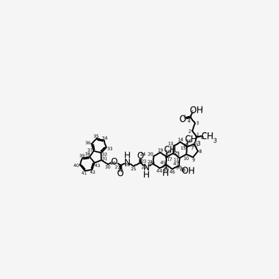 CC(CCC(=O)O)[C@H]1CCC2C3C(CC[C@@]21C)[C@@]1(C)CC[C@H](NC(=O)CNC(=O)OCC2c4ccccc4-c4ccccc42)C[C@H]1C[C@H]3O